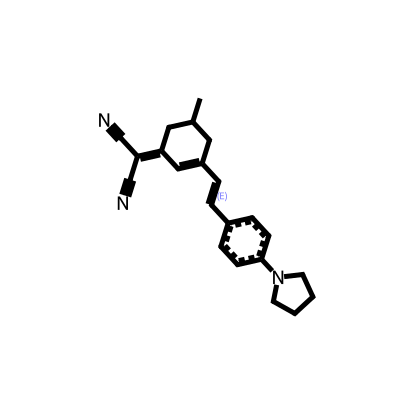 CC1CC(/C=C/c2ccc(N3CCCC3)cc2)=CC(=C(C#N)C#N)C1